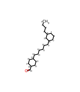 CCCCC1CCCC(CCCCCCC2CCC(C=O)CC2)C1